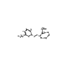 CSc1ccccc1/C=C/c1cccc(N)c1